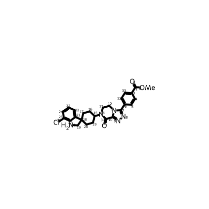 COC(=O)c1ccc(-c2nnc3n2CCN(C2CCC(CN)(c4cccc(Cl)c4)CC2)C3=O)cc1